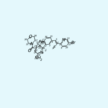 C[C@]1(c2cc(C=C(F)c3ccc(Br)cn3)ccc2F)N=C(N)S[C@@]2(C(=O)N3CCOCC3)C[C@H]21